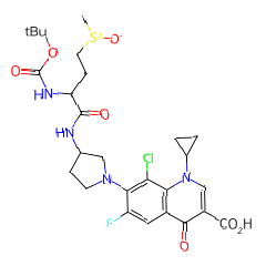 C[S+]([O-])CCC(NC(=O)OC(C)(C)C)C(=O)NC1CCN(c2c(F)cc3c(=O)c(C(=O)O)cn(C4CC4)c3c2Cl)C1